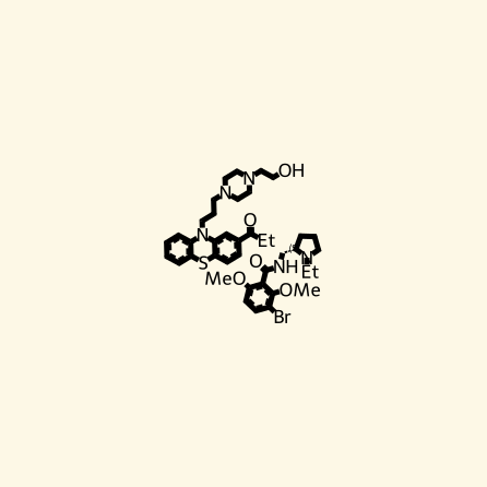 CCC(=O)c1ccc2c(c1)N(CCCN1CCN(CCO)CC1)c1ccccc1S2.CCN1CCC[C@H]1CNC(=O)c1c(OC)ccc(Br)c1OC